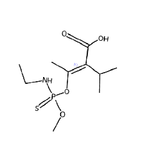 CCNP(=S)(OC)O/C(C)=C(/C(=O)O)C(C)C